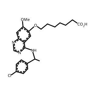 COc1cc2ncnc(NC(C)c3ccc(Cl)cc3)c2cc1OCCCCCCC(=O)O